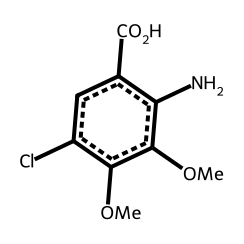 COc1c(Cl)cc(C(=O)O)c(N)c1OC